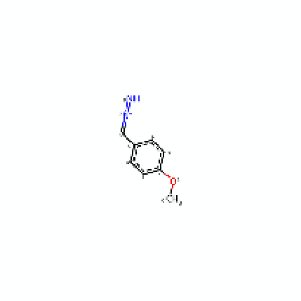 COc1ccc(C=[N+]=N)cc1